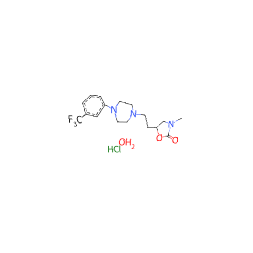 CN1CC(CCN2CCN(c3cccc(C(F)(F)F)c3)CC2)OC1=O.Cl.O